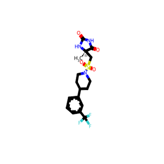 C[C@]1(CS(=O)(=O)N2CCC(c3cccc(C(F)(F)F)c3)CC2)NC(=O)NC1=O